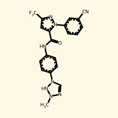 CN1N=CN(c2ccc(NC(=O)c3cc(C(F)(F)F)nn3-c3cccc(C#N)c3)cc2)N1